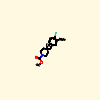 COc1cc(CC2(C(=O)O)CCN(C(=O)OC(C)(C)C)CC2)ccc1F